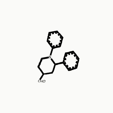 O=CC1CCN(c2ccccc2)C(c2ccccc2)C1